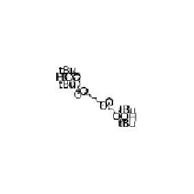 CC(C)(C)c1ccc(CCC(=O)OCCCCCCOC(=O)CCc2ccc(C(C)(C)C)c(O)c2C(C)(C)C)c(C(C)(C)C)c1O